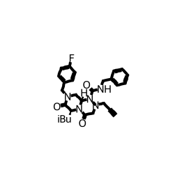 C#CCN1CC(=O)N2[C@@H](C(C)CC)C(=O)N(Cc3ccc(F)cc3)C[C@@H]2N1C(=O)NCc1ccccc1